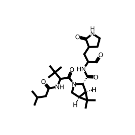 CC(C)CC(=O)NC(C(=O)N1C[C@H]2[C@@H]([C@H]1C(=O)NC(C=O)CC1CCNC1=O)C2(C)C)C(C)(C)C